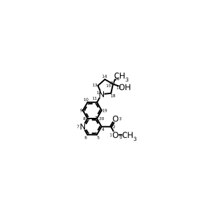 COC(=O)c1ccnc2ccc(N3CC[C@](C)(O)C3)cc12